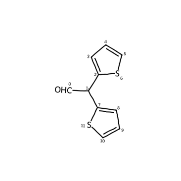 O=C[C](c1cccs1)c1cccs1